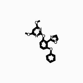 COc1cc(OC)nc(Oc2cccc(Oc3ccccc3)c2-c2ncco2)n1